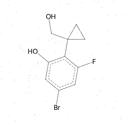 OCC1(c2c(O)cc(Br)cc2F)CC1